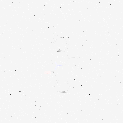 CCCC(CN(C)C(=O)c1ccccc1)c1ccc(Cl)c(Cl)c1